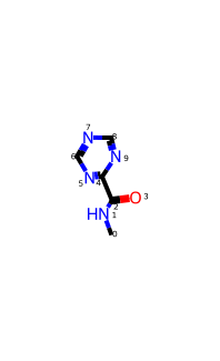 CNC(=O)c1ncncn1